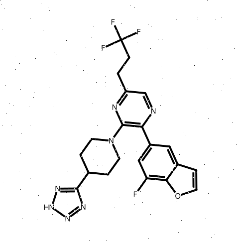 Fc1cc(-c2ncc(CCC(F)(F)F)nc2N2CCC(c3nn[nH]n3)CC2)cc2ccoc12